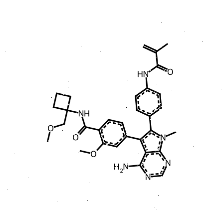 C=C(C)C(=O)Nc1ccc(-c2c(-c3ccc(C(=O)NC4(COC)CCC4)c(OC)c3)c3c(N)ncnc3n2C)cc1